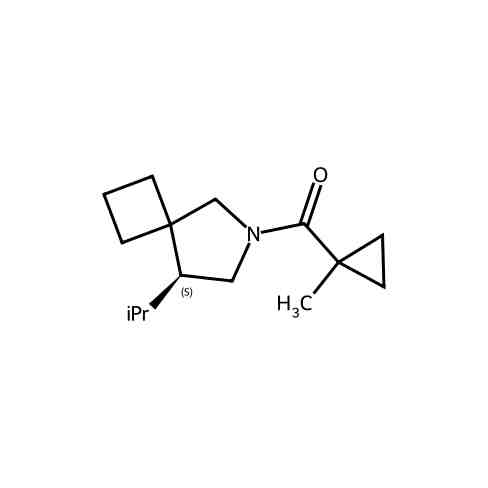 CC(C)[C@@H]1CN(C(=O)C2(C)CC2)CC12CCC2